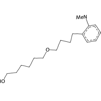 CNc1ccccc1CCCCOCCCCCCO